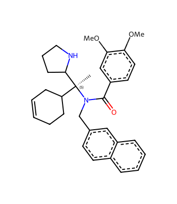 COc1ccc(C(=O)N(Cc2ccc3ccccc3c2)[C@@](C)(C2CC=CCC2)C2CCCN2)cc1OC